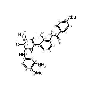 COc1ccc(Nc2nc(-c3cccc(NC(=O)c4ccc(C(C)(C)C)cc4)c3C)cn(C)c2=O)cc1N